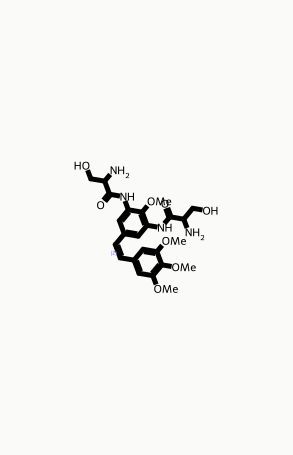 COc1cc(/C=C\c2cc(NC(=O)C(N)CO)c(OC)c(NC(=O)C(N)CO)c2)cc(OC)c1OC